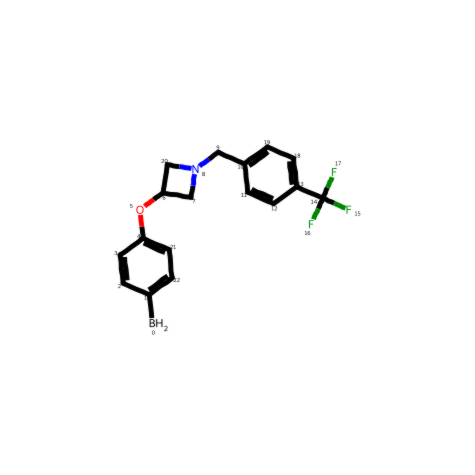 Bc1ccc(OC2CN(Cc3ccc(C(F)(F)F)cc3)C2)cc1